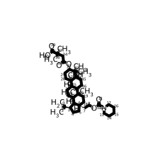 C=C(C)[C@@H]1CC[C@]2(CCOC(=O)N3CCCCC3)CC[C@]3(C)[C@H](CC[C@@H]4[C@@]5(C)CC[C@H](OC(=O)CC(C)(C)C(=O)O)C(C)(C)[C@@H]5CC[C@]43C)[C@@H]12